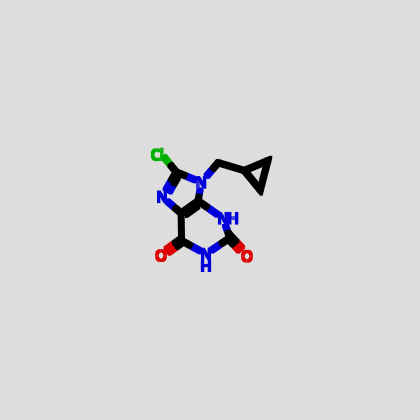 O=c1[nH]c(=O)c2nc(Cl)n(CC3CC3)c2[nH]1